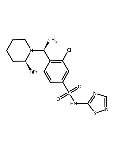 CCC[C@H]1CCCCN1[C@@H](C)c1ccc(S(=O)(=O)Nc2ncns2)cc1Cl